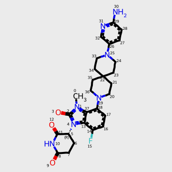 Cn1c(=O)n([C@@H]2CCC(=O)NC2=O)c2c(F)ccc(N3CCC4(CCN(c5ccc(N)nc5)CC4)CC3)c21